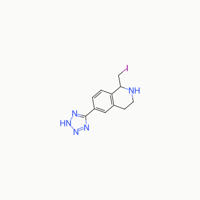 ICC1NCCc2cc(-c3nn[nH]n3)ccc21